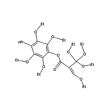 CCCc1c(OCC)c(OCC)c(OC(=O)C(=COCC)C(OCC)(OCC)OCC)c(OCC)c1OCC